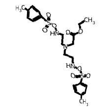 CCOC(=O)CN(CCNOS(=O)(=O)c1ccc(C)cc1)CCNOS(=O)(=O)c1ccc(C)cc1